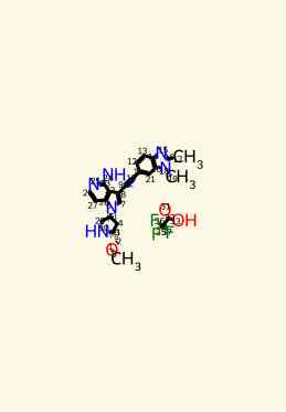 COC[C@H]1C[C@H](n2cc(C#Cc3ccc4nc(C)n(C)c4c3)c3c(N)nccc32)CN1.O=C(O)C(F)(F)F